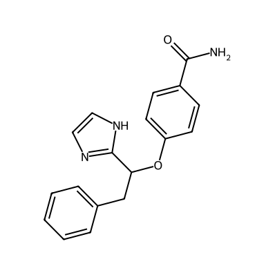 NC(=O)c1ccc(OC(Cc2ccccc2)c2ncc[nH]2)cc1